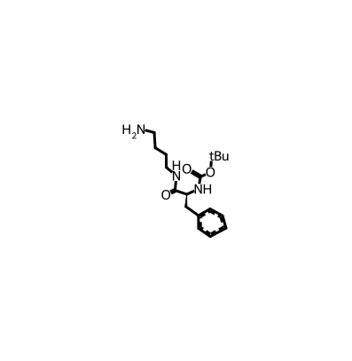 CC(C)(C)OC(=O)N[C@@H](Cc1ccccc1)C(=O)NCCCCN